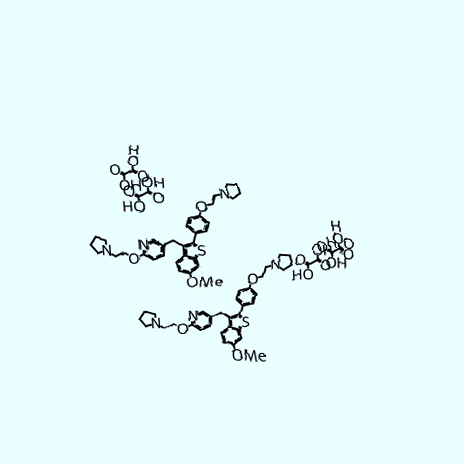 COc1ccc2c(Cc3ccc(OCCN4CCCC4)nc3)c(-c3ccc(OCCN4CCCC4)cc3)sc2c1.COc1ccc2c(Cc3ccc(OCCN4CCCC4)nc3)c(-c3ccc(OCCN4CCCC4)cc3)sc2c1.O.O=C(O)C(=O)O.O=C(O)C(=O)O.O=C(O)C(=O)O.O=C(O)C(=O)O